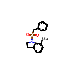 CC(C)(C)c1cccc2c1N(S(=O)(=O)Cc1ccccc1)CC2